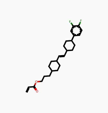 C=CC(=O)OCCCC1CCC(C=CC2CCC(c3ccc(F)c(F)c3)CC2)CC1